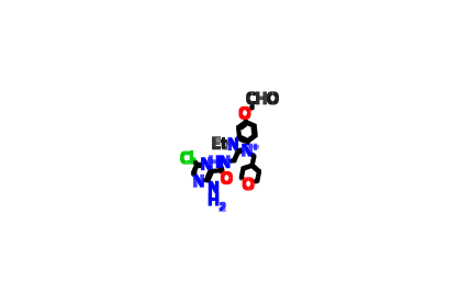 CCn1c(CNC(=O)c2nc(Cl)cnc2N)[n+](CC2CCOCC2)c2ccc(OCC=O)cc21